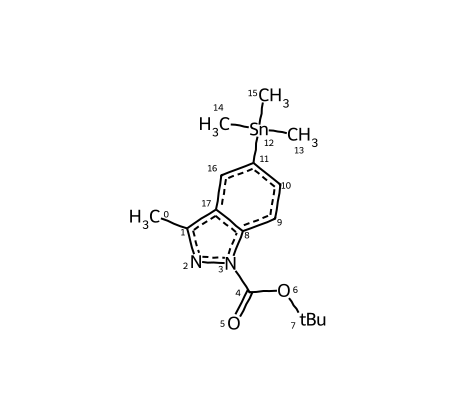 Cc1nn(C(=O)OC(C)(C)C)c2cc[c]([Sn]([CH3])([CH3])[CH3])cc12